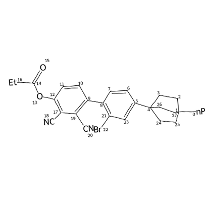 CCCC12CCC(c3ccc(-c4ccc(OC(=O)CC)c(C#N)c4C#N)c(Br)c3)(CC1)CC2